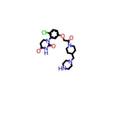 O=C1CCN(c2cc(OCC(=O)N3CCC(CN4CCNCC4)CC3)ccc2Cl)C(=O)N1